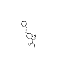 CCC(=O)c1cnn2cc(OCc3ccccc3)ccc12